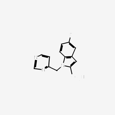 O=C(O)c1cc2cc(F)ccc2n1Cc1ccncn1